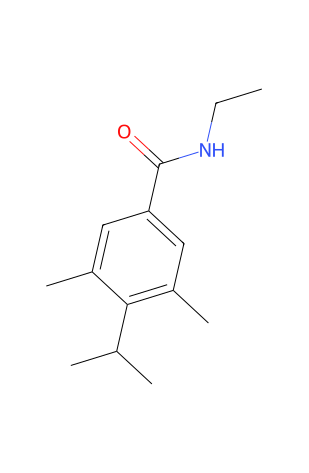 CCNC(=O)c1cc(C)c(C(C)C)c(C)c1